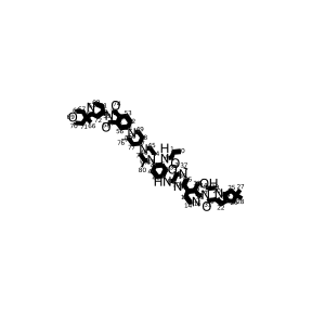 C=CC(=O)Nc1cc(Nc2nc(-c3ccnc(N4CCn5c(cc6c5CC(C)(C)C6)C4=O)c3CO)cn(C)c2=O)ccc1N1CCN(C2CCN(c3ccc4c(c3)C(=O)N(c3ccnc(C5(C)CCOCC5)c3)C4=O)[C@@H](C)C2)C[C@@H]1C